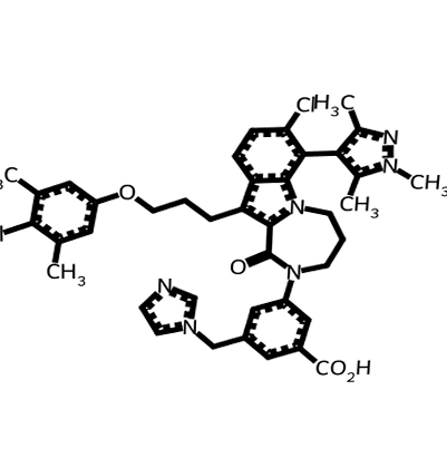 Cc1cc(OCCCc2c3n(c4c(-c5c(C)nn(C)c5C)c(Cl)ccc24)CCCN(c2cc(Cn4ccnc4)cc(C(=O)O)c2)C3=O)cc(C)c1Cl